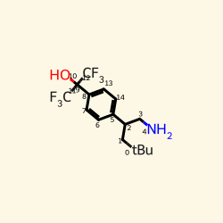 CC(C)(C)CC(CN)c1ccc(C(O)(C(F)(F)F)C(F)(F)F)cc1